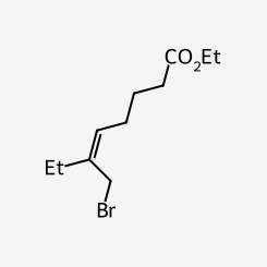 CCOC(=O)CCCC=C(CC)CBr